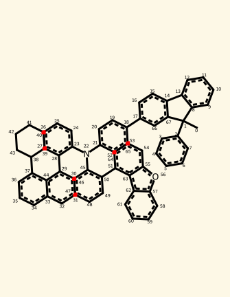 CC1(c2ccccc2)c2ccccc2-c2ccc(-c3ccc(N(c4ccccc4-c4cccc5cccc(C6CCCCC6)c45)c4ccccc4-c4cccc5oc6ccccc6c45)cc3)cc21